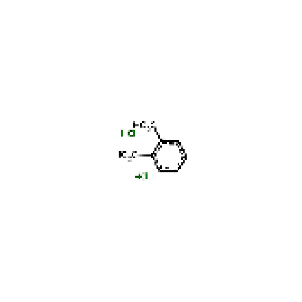 Cl.Cl.O=C(O)c1ccccc1C(=O)O